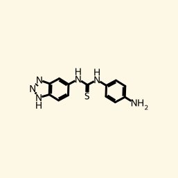 Nc1ccc(NC(=S)Nc2ccc3[nH]nnc3c2)cc1